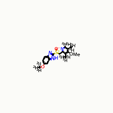 [2H]c1nc(C[S+]([O-])c2nc3ccc(OC([2H])([2H])[2H])cc3[nH]2)c(C([2H])([2H])[2H])c(OC)c1C([2H])([2H])[2H]